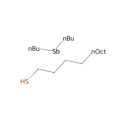 CCCCCCCCCCCCS.CCC[CH2][Sb][CH2]CCC